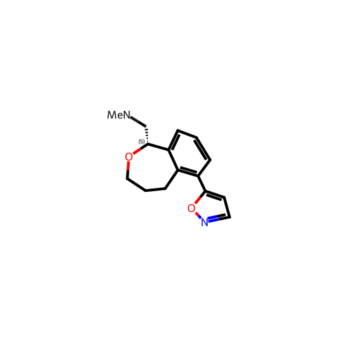 CNC[C@H]1OCCCc2c(-c3ccno3)cccc21